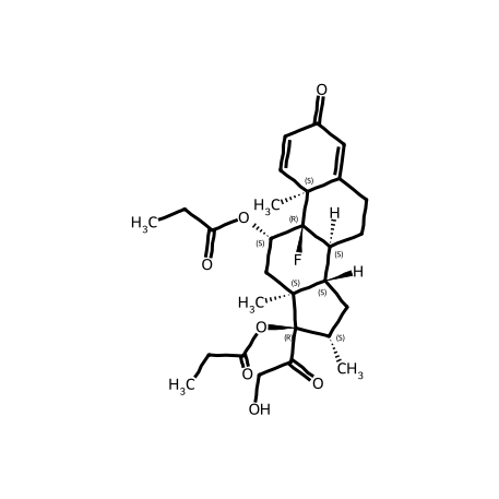 CCC(=O)O[C@H]1C[C@@]2(C)[C@@H](C[C@H](C)[C@]2(OC(=O)CC)C(=O)CO)[C@@H]2CCC3=CC(=O)C=C[C@]3(C)[C@@]12F